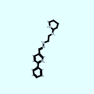 C(=NOCCOC1CCCCO1)c1ccc(-c2ccccc2)nc1